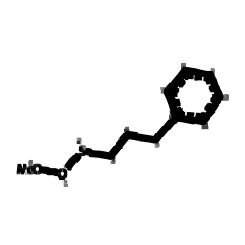 COOSCCCc1ccccc1